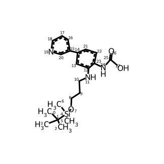 CC(C)(C)[Si](C)(C)OCCCNc1cc(-c2cccnc2)ccc1NC(=O)O